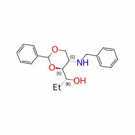 CC[C@@H](O)[C@H]1OC(c2ccccc2)OC[C@@H]1NCc1ccccc1